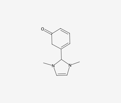 CN1C=CN(C)C1C1=CC=CC(=O)C1